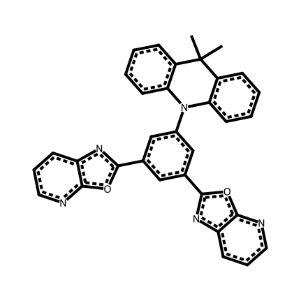 CC1(C)c2ccccc2N(c2cc(-c3nc4cccnc4o3)cc(-c3nc4cccnc4o3)c2)c2ccccc21